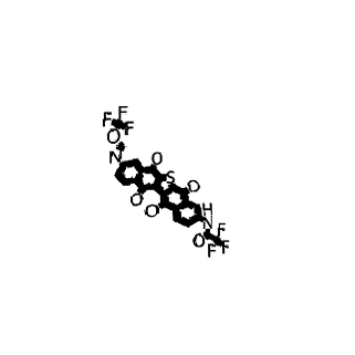 O=C(Nc1ccc2c(=O)c3c(sc4c(=O)c5cc(N=COC(F)(F)F)ccc5c(=O)c43)c(=O)c2c1)C(F)(F)F